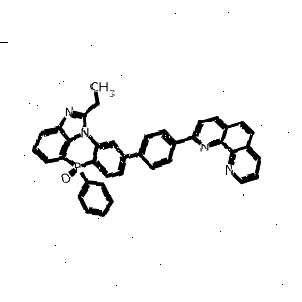 CCc1nc2cccc3c2n1-c1cc(-c2ccc(-c4ccc5ccc6cccnc6c5n4)cc2)ccc1P3(=O)c1ccccc1